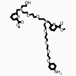 COC(=O)c1cccc(CN(CCO)CCOCCOCCN(CCOCCCSCCOCCOc2ccc(N)cc2)Cc2cccc(C(=O)OC)n2)n1